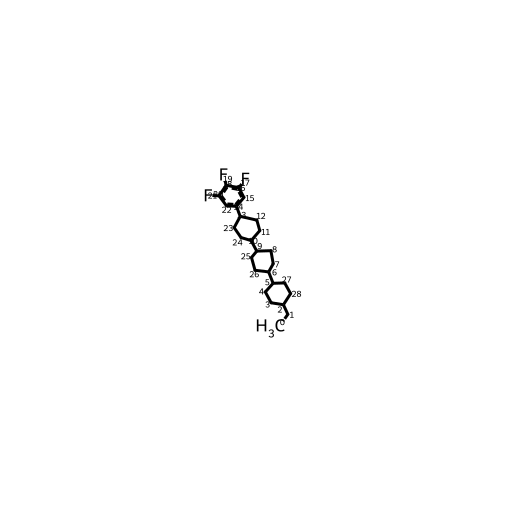 CCC1CCC(C2CCC(C3CCC(c4cc(F)c(F)c(F)c4)CC3)CC2)CC1